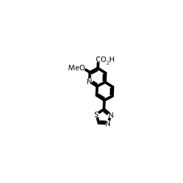 COc1nc2cc(-c3nncs3)ccc2cc1C(=O)O